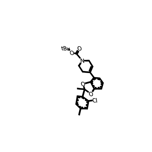 Cc1ccc(C2(C)Oc3cccc(C4=CCN(C(=O)OC(C)(C)C)CC4)c3O2)c(Cl)c1